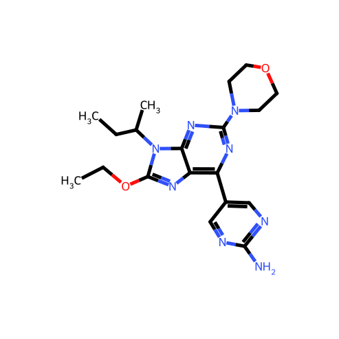 CCOc1nc2c(-c3cnc(N)nc3)nc(N3CCOCC3)nc2n1C(C)CC